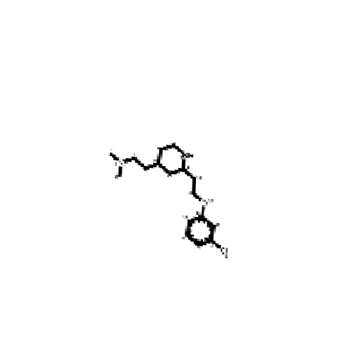 CN(C)CCC1CCNC(CCOc2cccc(Cl)c2)C1